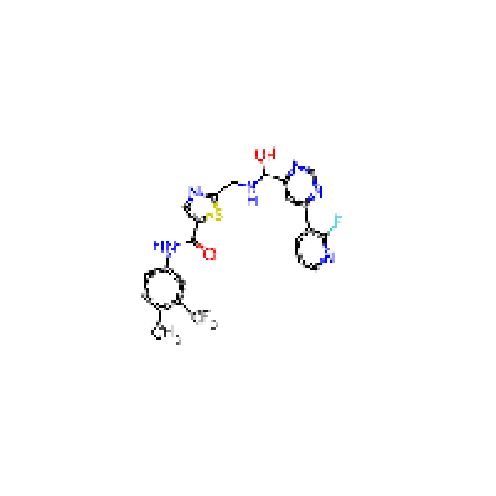 Cc1ccc(NC(=O)c2cnc(CNC(O)c3cc(-c4cccnc4F)ncn3)s2)cc1C(F)(F)F